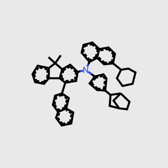 CC1(C)c2ccccc2-c2c(-c3ccc4ccccc4c3)cc(N(c3ccc(C4CC5CCC4C5)cc3)c3cccc4ccc(C5CCCCC5)cc34)cc21